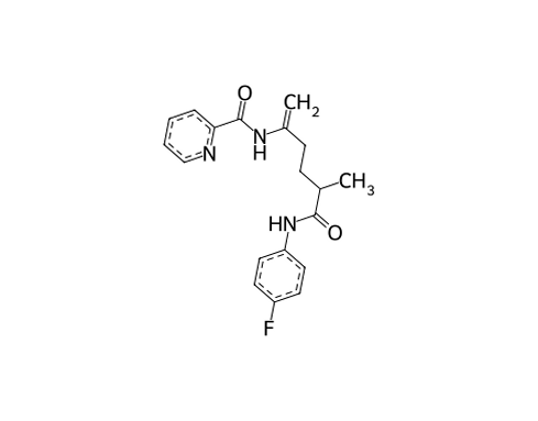 C=C(CCC(C)C(=O)Nc1ccc(F)cc1)NC(=O)c1ccccn1